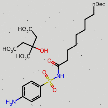 CCCCCCCCCCCCCCCCCC(=O)NS(=O)(=O)c1ccc(N)cc1.O=C(O)CC(O)(CC(=O)O)C(=O)O